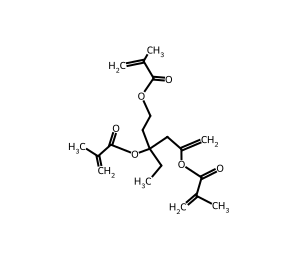 C=C(CC(CC)(CCOC(=O)C(=C)C)OC(=O)C(=C)C)OC(=O)C(=C)C